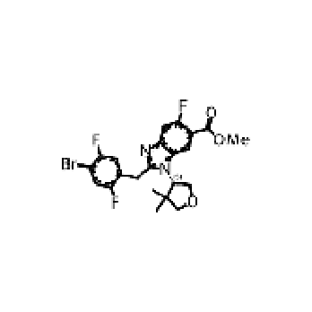 COC(=O)c1cc2c(cc1F)nc(Cc1cc(F)c(Br)cc1F)n2[C@@H]1COCC1(C)C